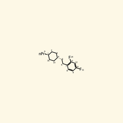 CCC[C@H]1CC[C@H](CCc2ccc(F)cc2F)CC1